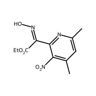 CCOC(=O)/C(=N\O)c1nc(C)cc(C)c1[N+](=O)[O-]